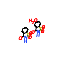 O.O=C1NS(=O)(=O)c2ccccc21.O=C1NS(=O)(=O)c2ccccc21